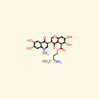 Cn1cc(-c2coc3cc(O)c(O)c(C(=O)OCC[C@H](N)C(=O)O)c3c2=O)c(=O)c2cc(O)c(O)cc21